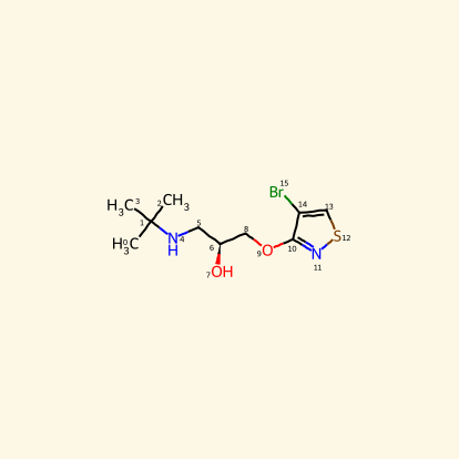 CC(C)(C)NC[C@H](O)COc1nscc1Br